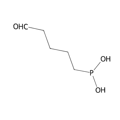 O=CCCCCP(O)O